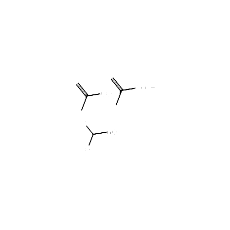 C=C(C)C(=O)O.C=C(C)C(=O)O.CCCCCCCCC(O)O